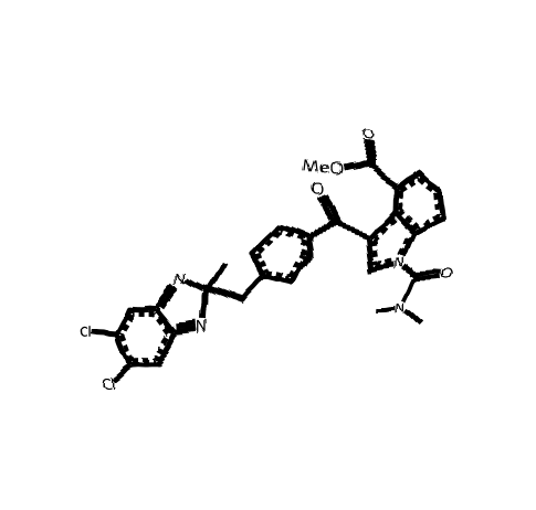 COC(=O)c1cccc2c1c(C(=O)c1ccc(CC3(C)N=c4cc(Cl)c(Cl)cc4=N3)cc1)cn2C(=O)N(C)C